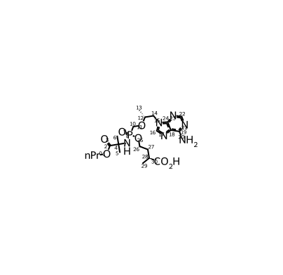 CCCOC(=O)C(C)(C)NP(=O)(CO[C@H](C)Cn1cnc2c(N)ncnc21)OCC[C@H](C)C(=O)O